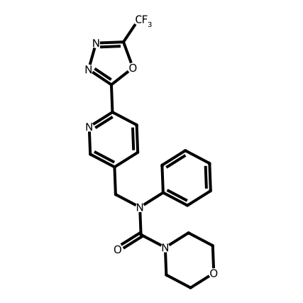 O=C(N1CCOCC1)N(Cc1ccc(-c2nnc(C(F)(F)F)o2)nc1)c1ccccc1